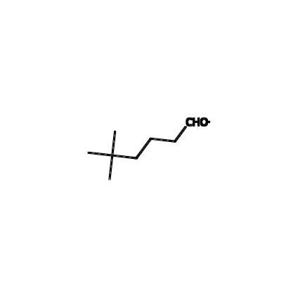 CC(C)(C)CCC[C]=O